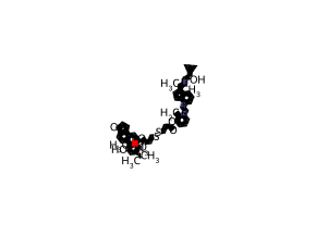 C=C1/C(=C\C=C2/CCC[C@@]3(C)C2CCC3[C@@H](C)/C=C/C(O)C2CC2)CCC[C@@H]1OC(=O)CCSSCCC(=O)O[C@@H]1[C@H](C(C)C)CC(O)C2(C)[C@]13O[C@H]3CC1C3=C(CC[C@@]12C)C(=O)CC3